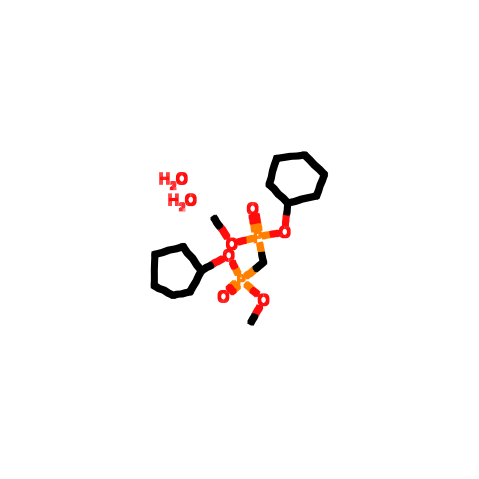 COP(=O)(CP(=O)(OC)OC1CCCCC1)OC1CCCCC1.O.O